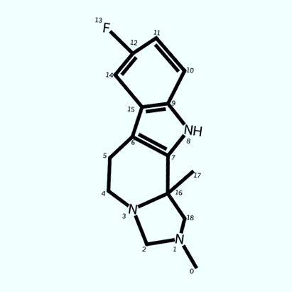 CN1CN2CCc3c([nH]c4ccc(F)cc34)C2(C)C1